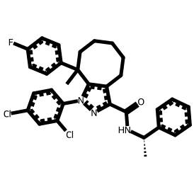 C[C@H](NC(=O)c1nn(-c2ccc(Cl)cc2Cl)c2c1CCCCCC2(C)c1ccc(F)cc1)c1ccccc1